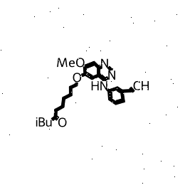 C#Cc1cccc(Nc2ncnc3cc(OC)c(OCCCCCCC(=O)C(C)CC)cc23)c1